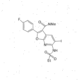 CCS(=O)(=O)Nc1nc2oc(-c3ccc(F)cc3)c(C(=O)NC)c2cc1I